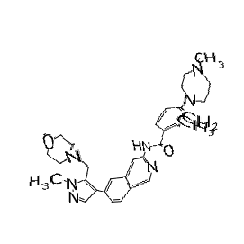 C=C(/C=C\C(=C/C)C(=O)Nc1cc2cc(-c3cnn(C)c3CN3CCOCC3)ccc2cn1)N1CCN(C)CC1